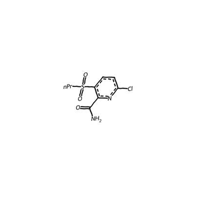 CCCS(=O)(=O)c1ccc(Cl)nc1C(N)=O